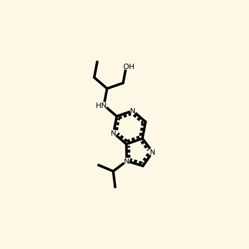 CCC(CO)Nc1ncc2ncn(C(C)C)c2n1